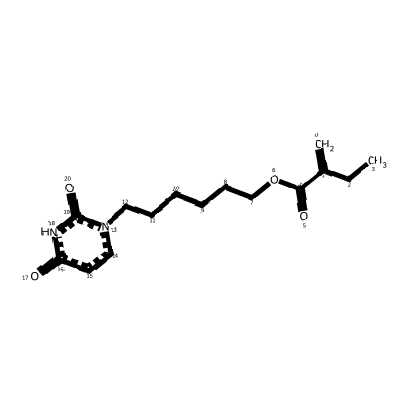 C=C(CC)C(=O)OCCCCCCn1ccc(=O)[nH]c1=O